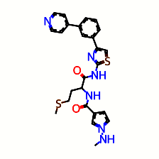 CNn1ccc(C(=O)NC(CCSC)C(=O)Nc2nc(-c3cccc(-c4ccncc4)c3)cs2)c1